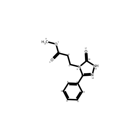 COC(=O)CCn1c(-c2ccccc2)n[nH]c1=O